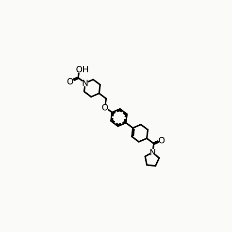 O=C(O)N1CCC(COc2ccc(C3=CCC(C(=O)N4CCCC4)CC3)cc2)CC1